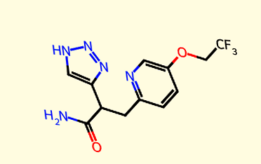 NC(=O)C(Cc1ccc(OCC(F)(F)F)cn1)c1c[nH]nn1